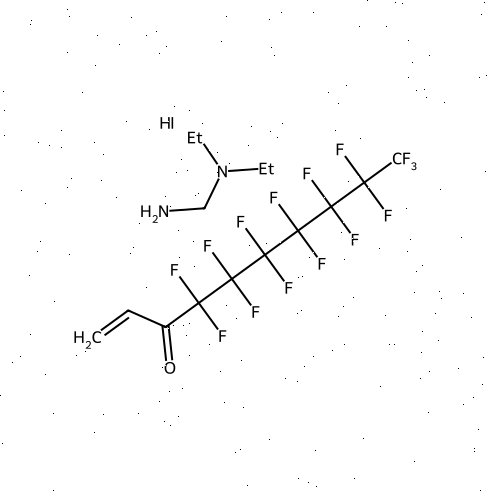 C=CC(=O)C(F)(F)C(F)(F)C(F)(F)C(F)(F)C(F)(F)C(F)(F)C(F)(F)F.CCN(CC)CN.I